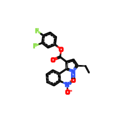 CCc1cc(C(=O)Oc2ccc(F)c(F)c2)c(-c2ccccc2[N+](=O)[O-])[nH]1